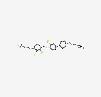 C=CCCc1ccc(CCc2ccc(-c3ccc(CCCC)cc3)cc2F)c(F)c1F